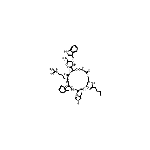 CCCCC(=O)N[C@H]1CCC(=O)NCCC(C(=O)N[C@@H](Cc2c[nH]c3ccccc23)C(N)=O)NC(=O)[C@H](CCCNC(=N)N)NC(=O)[C@@H](Cc2ccccc2)NC(=O)[C@H](Cc2c[nH]cn2)NC1=O